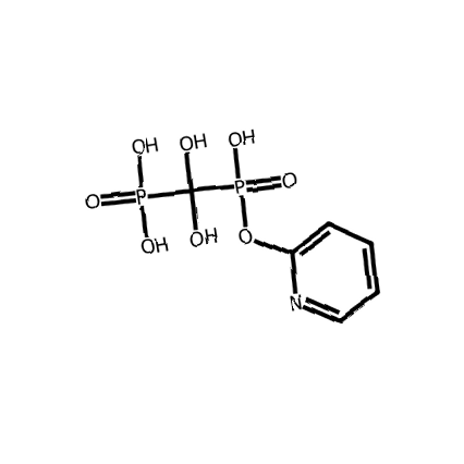 O=P(O)(O)C(O)(O)P(=O)(O)Oc1ccccn1